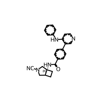 N#CN1CC2CC[C@]2(NC(=O)c2ccc(-c3cnccc3Nc3ccccc3)cc2)C1